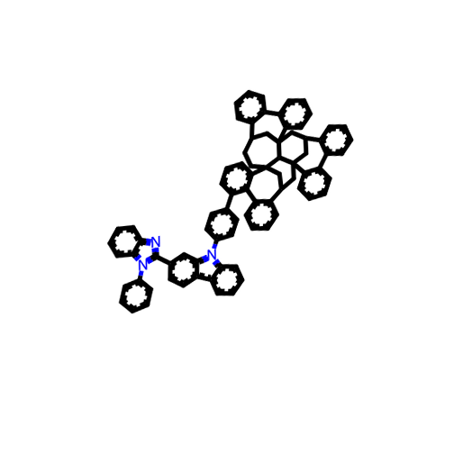 c1ccc(-n2c(-c3ccc4c5ccccc5n(-c5ccc(-c6cccc7c6-c6ccccc6C6CC89CC(CC%10%11CC(CCC7(C6)C%108)c6ccccc6-c6ccccc6%11)c6ccccc6-c6ccccc69)cc5)c4c3)nc3ccccc32)cc1